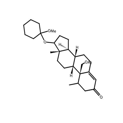 COC1(OC2CC[C@H]3[C@@H]4CCC5=CC(=O)CC(C)[C@]5(COC(C)=O)[C@@H]4CC[C@]23C)CCCCC1